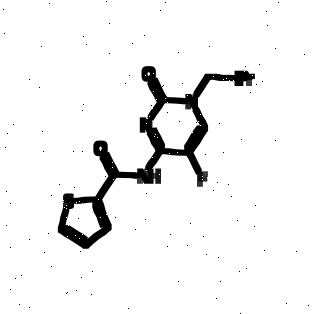 CC(C)Cn1cc(F)c(NC(=O)c2cccs2)nc1=O